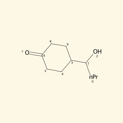 CCCC(O)C1CCC(=O)CC1